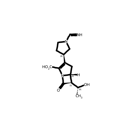 C[C@@H](O)[C@H]1C(=O)N2C(C(=O)O)=C([C@H]3CCN(C=N)C3)C[C@H]12